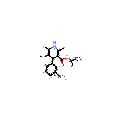 CC(=O)C1=C(C)NC(C)=C(C(=O)OC(C)C#N)C1c1cccc([N+](=O)[O-])c1